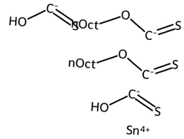 CCCCCCCCO[C-]=S.CCCCCCCCO[C-]=S.O[C-]=S.O[C-]=S.[Sn+4]